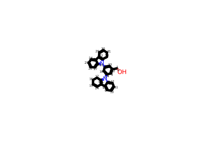 OCc1cc(-n2c3c(c4ccccc42)C=CCC3)cc(-n2c3c(c4ccccc42)C=CCC3)c1